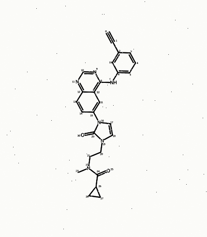 C#Cc1cccc(Nc2ncnc3ccc(-n4ccn(CCN(C)C(=O)C5CC5)c4=O)cc23)c1